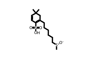 C[S+]([O-])CCCCCCC1=C(S(=O)(=O)O)C=CC(C)(C)C1